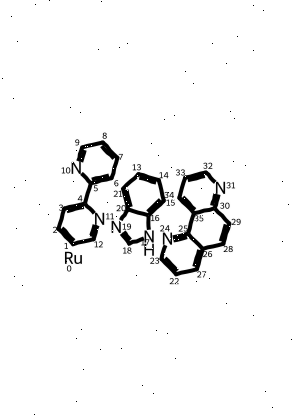 [Ru].c1ccc(-c2ccccn2)nc1.c1ccc2[nH]cnc2c1.c1cnc2c(c1)ccc1ncccc12